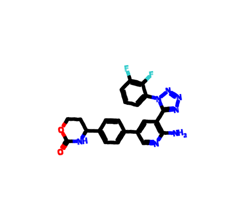 Nc1ncc(-c2ccc(C3CCOC(=O)N3)cc2)cc1-c1nnnn1-c1cccc(F)c1F